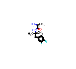 C[C@@H](N)C(=O)NC(C)(C)Cc1ccc(F)c(F)c1